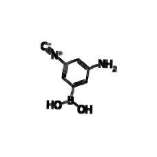 [C-]#[N+]c1cc(N)cc(B(O)O)c1